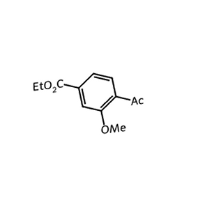 CCOC(=O)c1ccc(C(C)=O)c(OC)c1